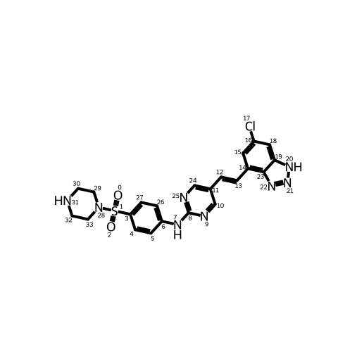 O=S(=O)(c1ccc(Nc2ncc(C=Cc3cc(Cl)cc4[nH]nnc34)cn2)cc1)N1CCNCC1